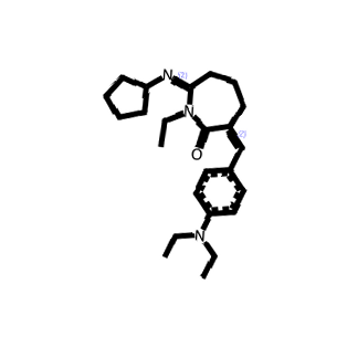 CCN1C(=O)/C(=C\c2ccc(N(CC)CC)cc2)CCC/C1=N/C1CCCC1